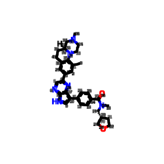 Cc1cc(-c2cnc3[nH]cc(-c4ccc(C(=O)N(C)C[C@@H]5CCOC5)cc4)c3n2)cc2c1N1CCN(C)C[C@@H]1CC2